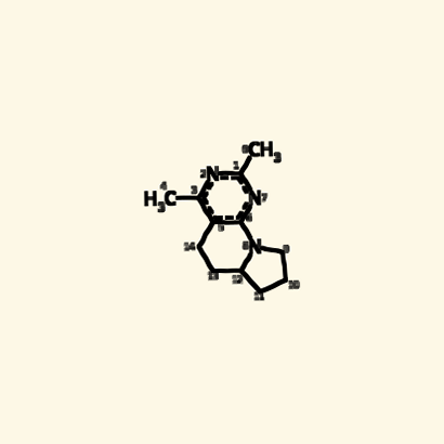 Cc1nc(C)c2c(n1)N1CCCC1CC2